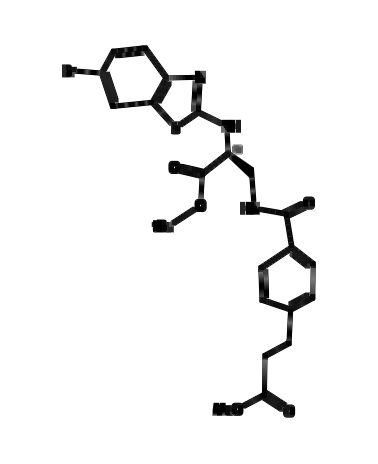 COC(=O)CCc1ccc(C(=O)NC[C@H](Nc2nc3ccc(Br)cc3s2)C(=O)OC(C)(C)C)cc1